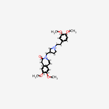 COc1ccc(CCN2CCC(CN3C=Cc4cc(OC)c(OC)cc4CC3=O)C2)cc1OC